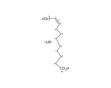 CCCCCCCC/C=C\CCCCCCCC(=O)O.[LiH]